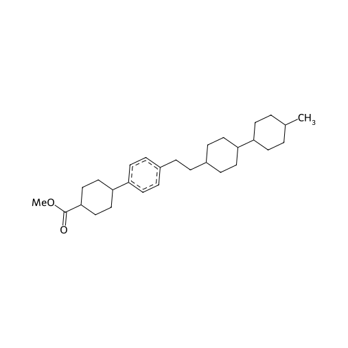 COC(=O)C1CCC(c2ccc(CCC3CCC(C4CCC(C)CC4)CC3)cc2)CC1